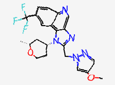 COc1cnn(Cc2nc3cnc4ccc(C(F)(F)F)cc4c3n2[C@@H]2CCO[C@H](C)C2)c1